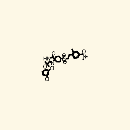 Cc1cc(C(=O)N(C)C)ccc1CCS(=O)(=O)N1CCC2(CC1)N=C(C(C)(C)Oc1ccc(Cl)cc1Cl)NC2=O